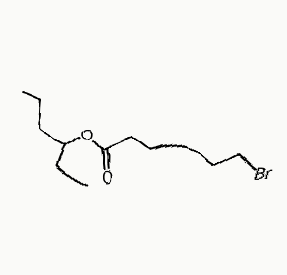 CCCC(CC)OC(=O)CCCCCBr